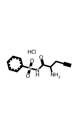 C#CCC(N)C(=O)NS(=O)(=O)c1ccccc1.Cl